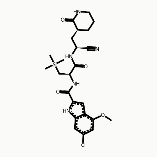 COc1cc(Cl)cc2[nH]c(C(=O)N[C@@H](C[Si](C)(C)C)C(=O)N[C@H](C#N)C[C@@H]3CCCNC3=O)cc12